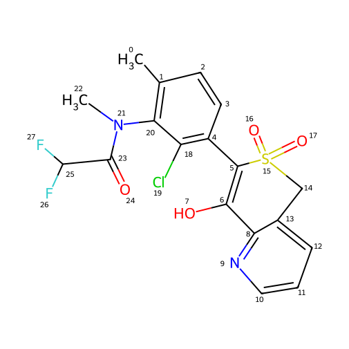 Cc1ccc(C2=C(O)c3ncccc3CS2(=O)=O)c(Cl)c1N(C)C(=O)C(F)F